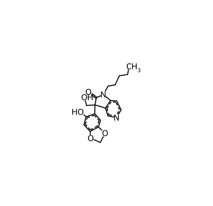 CCCCCN1C(=O)C(CO)(c2cc3c(cc2O)OCO3)c2cnccc21